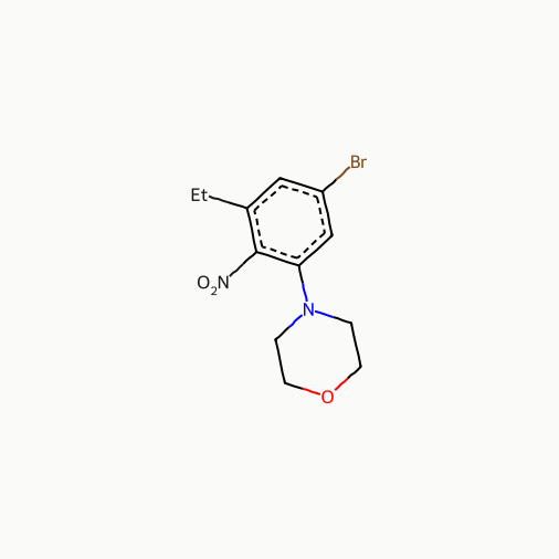 CCc1cc(Br)cc(N2CCOCC2)c1[N+](=O)[O-]